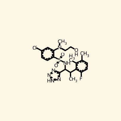 Cc1ccc(F)c(C(C)C(NS(=O)(=O)c2ccc(Cl)cc2N(C)CCO)c2nn[nH]n2)c1C